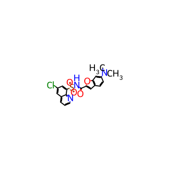 CN(C)c1ccc2cc(C(=O)NS(=O)(=O)c3cc(Cl)cc4cccnc34)oc2c1